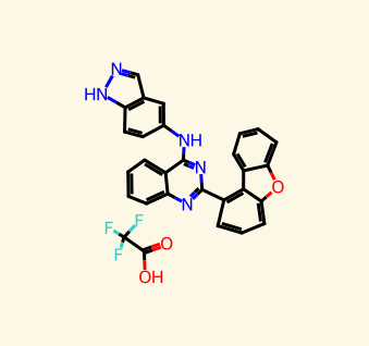 O=C(O)C(F)(F)F.c1ccc2c(Nc3ccc4[nH]ncc4c3)nc(-c3cccc4oc5ccccc5c34)nc2c1